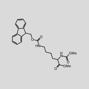 COC(=O)NC(CCCCNC(=O)OCC1c2ccccc2-c2ccccc21)C(=O)OC